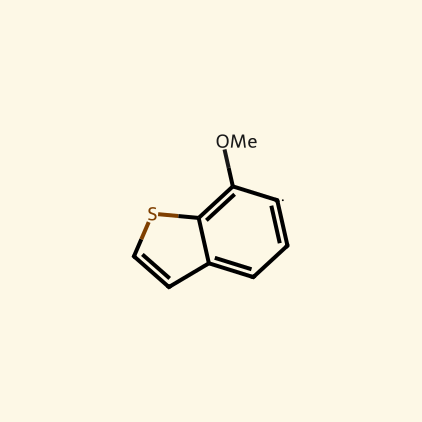 COc1[c]ccc2ccsc12